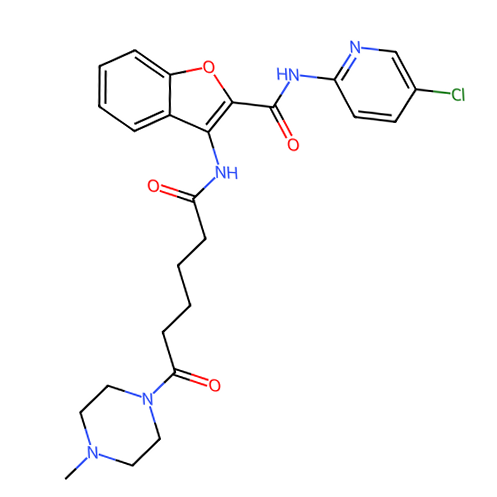 CN1CCN(C(=O)CCCCC(=O)Nc2c(C(=O)Nc3ccc(Cl)cn3)oc3ccccc23)CC1